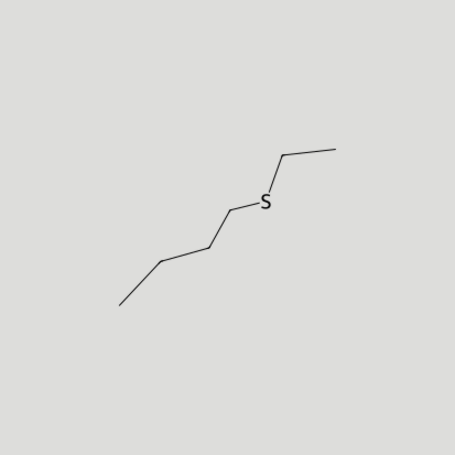 CCCCSCC